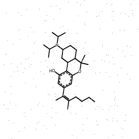 CCCCC(C)=C(C)c1cc(O)c2c(c1)OC(C)(C)C1CCC(N(C(C)C)C(C)C)CC21